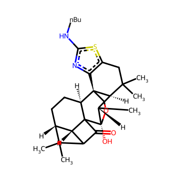 CCCCNc1nc2c(s1)CC(C)(C)[C@H]1[C@H](C)[C@@]3(O)OC[C@@]21[C@@H]1CC[C@@H]2[C@H]4C(C(=O)C413)C2(C)C